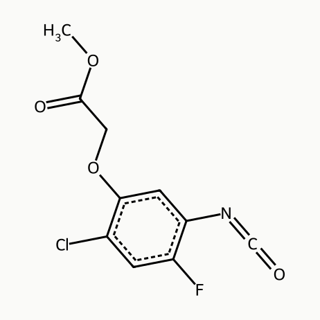 COC(=O)COc1cc(N=C=O)c(F)cc1Cl